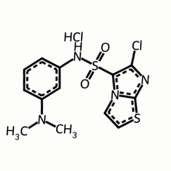 CN(C)c1cccc(NS(=O)(=O)c2c(Cl)nc3sccn23)c1.Cl